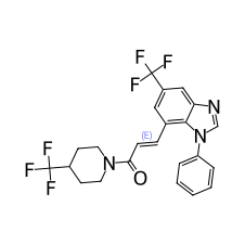 O=C(/C=C/c1cc(C(F)(F)F)cc2ncn(-c3ccccc3)c12)N1CCC(C(F)(F)F)CC1